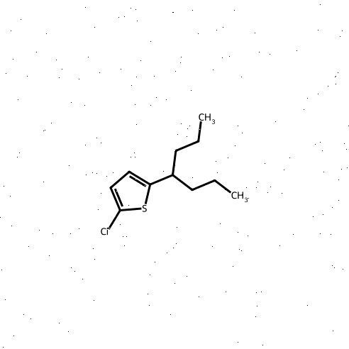 CCCC(CCC)c1ccc(Cl)s1